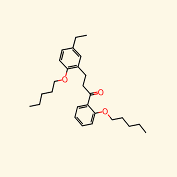 CCCCCOc1ccc(CC)cc1CCC(=O)c1ccccc1OCCCCC